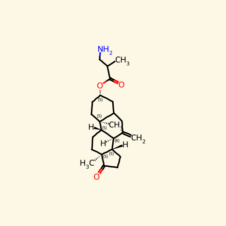 C=C1CC2C[C@@H](OC(=O)C(C)CN)CC[C@]2(C)[C@H]2CC[C@]3(C)C(=O)CC[C@H]3[C@H]12